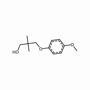 COc1ccc(OCC(C)(C)CO)cc1